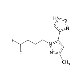 Cc1cc(-c2c[nH]cn2)n(CCCC(F)F)n1